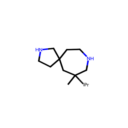 CC(C)C1(C)CNCCC2(CCNC2)C1